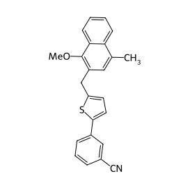 COc1c(Cc2ccc(-c3cccc(C#N)c3)s2)cc(C)c2ccccc12